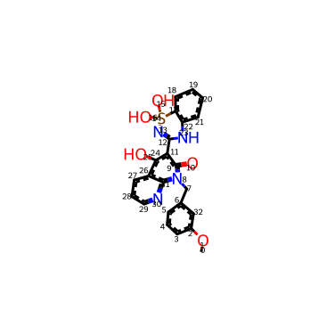 COc1cccc(Cn2c(=O)c(C3=NS(O)(O)c4ccccc4N3)c(O)c3cccnc32)c1